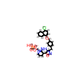 Nc1c(-c2cc(Cc3ccc(COc4ccc(Cl)c5ccccc45)cc3)no2)ccc[n+]1COP(=O)([O-])O